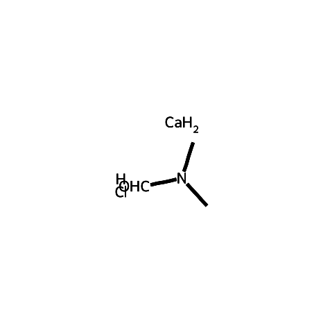 CN(C)C=O.Cl.[CaH2]